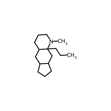 CCCC12CC3CCCC3CC1CCCN2C